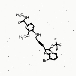 CNC(=O)c1ccc(NCC#Cc2nc3c(Br)cccn3c2SC(F)(F)F)c(OC)n1